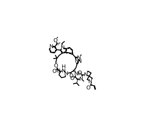 C=CC(=O)N1CC2(CCN2C(=O)N(C)[C@H](C(=O)N[C@H]2Cc3nc(n(C)n3)-c3ccc4c(c3)c(c(-c3cccnc3[C@H](C)OC)n4CC)CC(C)(C)COC(=O)[C@@H]3CCCN(N3)C2=O)C(C)C)C1